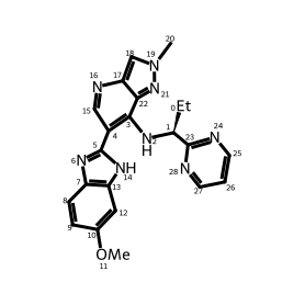 CC[C@H](Nc1c(-c2nc3ccc(OC)cc3[nH]2)cnc2cn(C)nc12)c1ncccn1